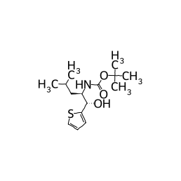 CC(C)C[C@@H](NC(=O)OC(C)(C)C)[C@H](O)c1cccs1